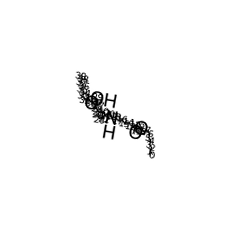 CCCCCC/C=C\COC(=O)CCCCCCCNCc1cccc(CCC(O)OC/C=C\CCCCCC)c1